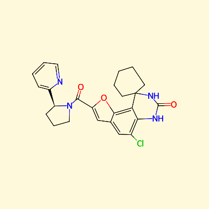 O=C1Nc2c(Cl)cc3cc(C(=O)N4CCC[C@H]4c4ccccn4)oc3c2C2(CCCCC2)N1